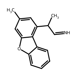 Cc1cc(C(C)C=N)c2c(c1)oc1ccccc12